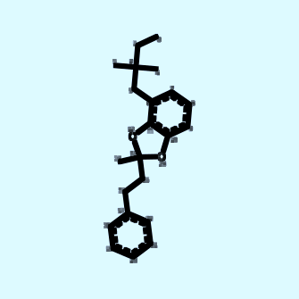 CCC(C)(C)Cc1cccc2c1OC(C)(CCc1ccccc1)O2